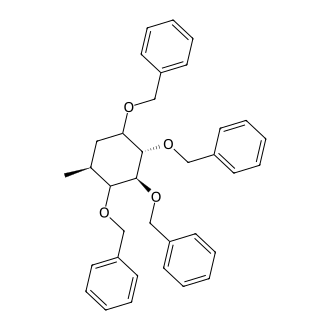 C[C@H]1CC(OCc2ccccc2)[C@H](OCc2ccccc2)[C@@H](OCc2ccccc2)C1OCc1ccccc1